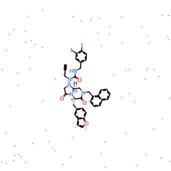 C#CCN(C(=O)NCc1ccc(I)c(I)c1)N1CC(=O)N2[C@@H](Cc3ccc4occc4c3)C(=O)N(Cc3cccc4ccccc34)C[C@@H]21